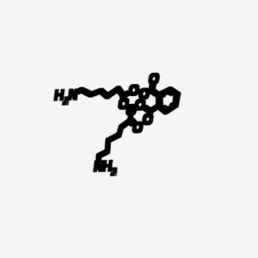 NCCCCCC(=O)OOC(=O)c1ccccc1C(=O)OOC(=O)CCCCCN